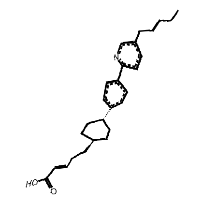 CCCCCc1ccc(-c2ccc([C@H]3CC[C@H](CC/C=C/C(=O)O)CC3)cc2)nc1